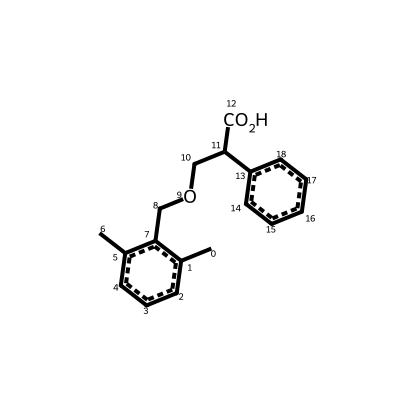 Cc1cccc(C)c1COCC(C(=O)O)c1ccccc1